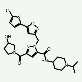 CC(C)N1CCC(NC(=O)c2cc(C(=O)N3CCC(O)C3)nn2Cc2cc(-c3ccc(Cl)s3)on2)CC1